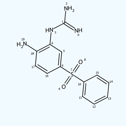 N=C(N)Nc1cc(S(=O)(=O)c2ccccc2)ccc1N